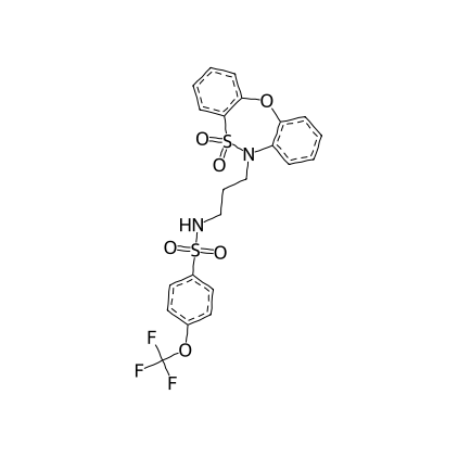 O=S(=O)(NCCCN1c2ccccc2Oc2ccccc2S1(=O)=O)c1ccc(OC(F)(F)F)cc1